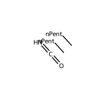 CCCCCC.CCCCCC.N=C=O